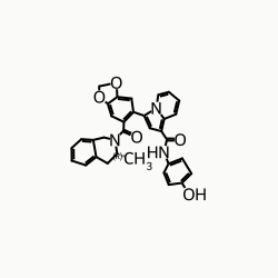 C[C@@H]1Cc2ccccc2CN1C(=O)c1cc2c(cc1-c1cc(C(=O)Nc3ccc(O)cc3)c3ccccn13)OCO2